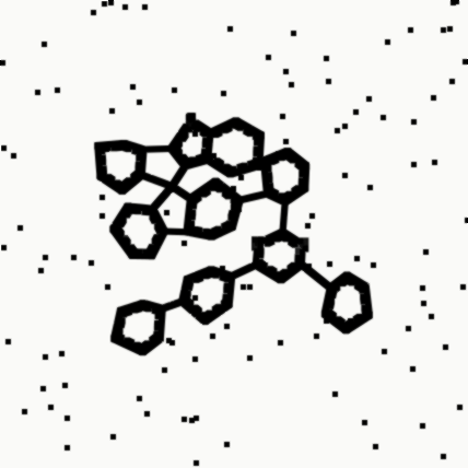 c1ccc(-c2ccc(-c3cc(-c4ccccc4)nc(-c4ccccc4-c4ccc5c(c4)C4(c6ccccc6-5)c5ccccc5-c5sc6ccccc6c54)n3)cc2)cc1